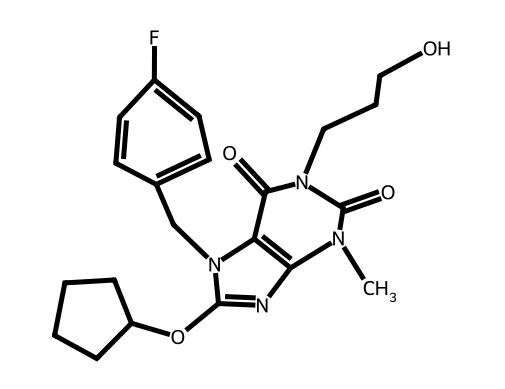 Cn1c(=O)n(CCCO)c(=O)c2c1nc(OC1CCCC1)n2Cc1ccc(F)cc1